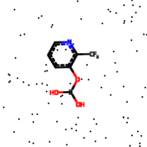 OB(O)Oc1cccnc1C(F)(F)F